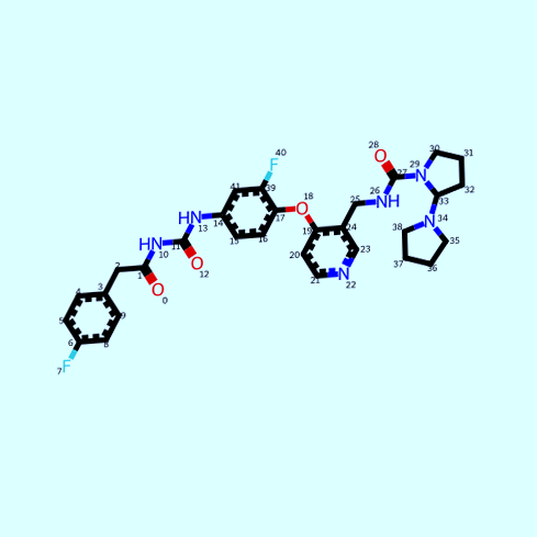 O=C(Cc1ccc(F)cc1)NC(=O)Nc1ccc(Oc2ccncc2CNC(=O)N2CCCC2N2CCCC2)c(F)c1